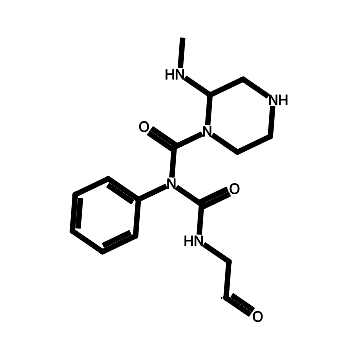 CNC1CNCCN1C(=O)N(C(=O)NC[C]=O)c1ccccc1